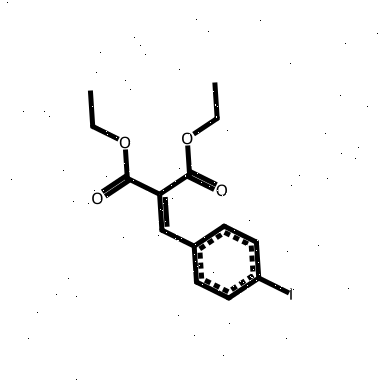 CCOC(=O)C(=Cc1ccc(I)cc1)C(=O)OCC